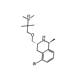 C[C@@H]1N[C@@H](COCC(C)(C)[SiH](C)C)Cc2c(Br)cccc21